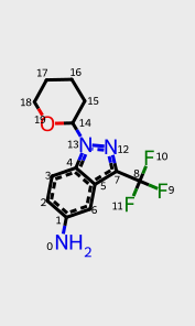 Nc1ccc2c(c1)c(C(F)(F)F)nn2C1CCCCO1